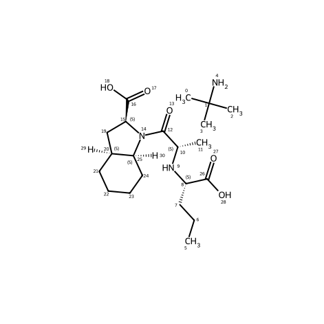 CC(C)(C)N.CCC[C@H](N[C@@H](C)C(=O)N1[C@H](C(=O)O)C[C@@H]2CCCC[C@@H]21)C(=O)O